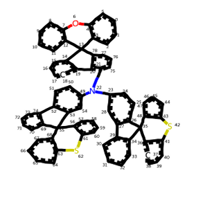 c1ccc2c(c1)Oc1ccccc1C21c2ccccc2-c2c(N(c3ccc4c(c3)-c3ccccc3C43c4ccccc4Sc4ccccc43)c3ccc4c(c3)C3(c5ccccc5Sc5ccccc53)c3ccccc3-4)cccc21